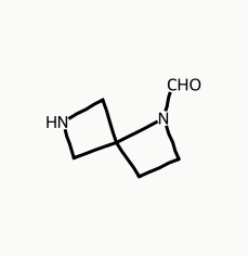 O=CN1CCC12CNC2